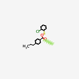 CCCc1ccc(C(=O)OSc2ccccc2Cl)cc1.F.F.F.F.F